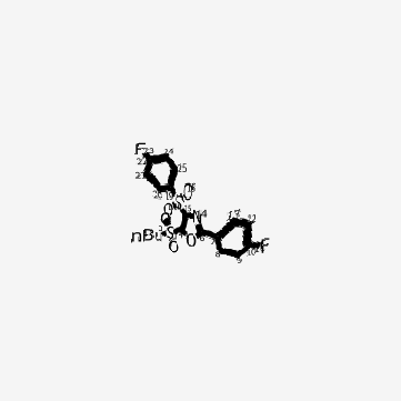 CCCCS(=O)(=O)c1oc(-c2ccc(F)cc2)nc1S(=O)(=O)c1ccc(F)cc1